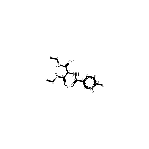 CCOC(=O)C(NC(=O)c1ccc(C)nc1)C(=O)OCC